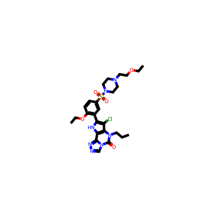 CCCn1c(=O)n2cnnc2c2[nH]c(-c3cc(S(=O)(=O)N4CCN(CCOCC)CC4)ccc3OCC)c(Cl)c21